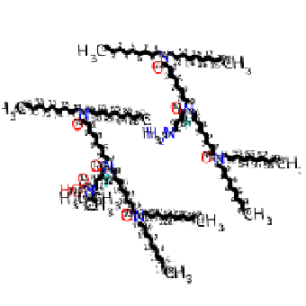 CCCCCCCCCCN(CCCCCCCCCC)C(=O)CCCCCCCN(CCCCCCCC(=O)N(CCCCCCCCCC)CCCCCCCCCC)C(=O)C(F)CCN.CCCCCCCCCCN(CCCCCCCCCC)C(=O)CCCCCCCN(CCCCCCCC(=O)N(CCCCCCCCCC)CCCCCCCCCC)C(=O)C(F)CCN(C(=O)O)C(C)(C)C